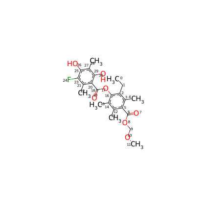 CCc1c(C)c(C(=O)OCOC)c(C)c(C)c1OC(=O)c1c(C)c(F)c(O)c(C)c1O